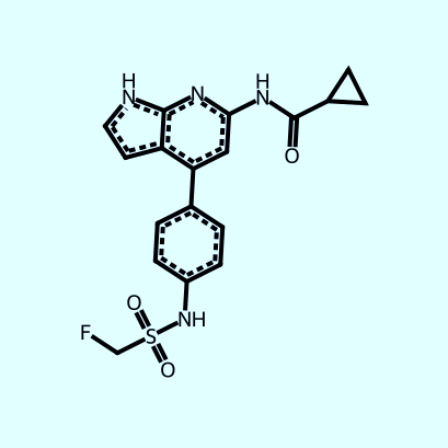 O=C(Nc1cc(-c2ccc(NS(=O)(=O)CF)cc2)c2cc[nH]c2n1)C1CC1